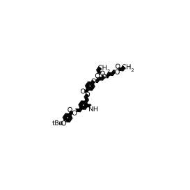 C=CC(=O)OCCCCOCC(COc1ccc(C(=O)OCCc2ccc(CCOC(=O)c3ccc(OC(C)(C)C)cc3)cc2C=N)cc1)OC(=O)C=C